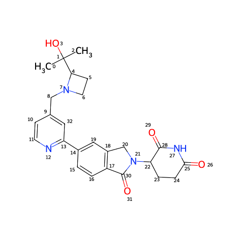 CC(C)(O)C1CCN1Cc1ccnc(-c2ccc3c(c2)CN(C2CCC(=O)NC2=O)C3=O)c1